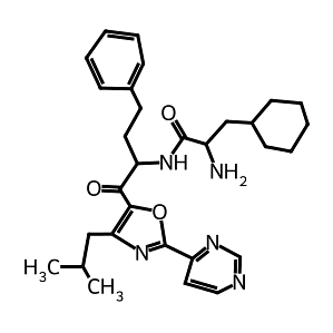 CC(C)Cc1nc(-c2ccncn2)oc1C(=O)C(CCc1ccccc1)NC(=O)C(N)CC1CCCCC1